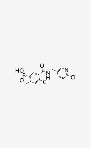 O=C(NCc1ccc(Cl)nc1)c1cc2c(cc1Cl)COB2O